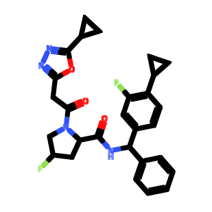 O=C(NC(c1ccccc1)c1ccc(C2CC2)c(F)c1)C1CC(F)CN1C(=O)Cc1nnc(C2CC2)o1